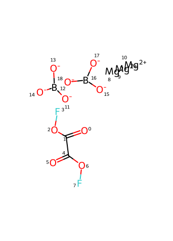 O=C(OF)C(=O)OF.[Mg+2].[Mg+2].[Mg+2].[O-]B([O-])[O-].[O-]B([O-])[O-]